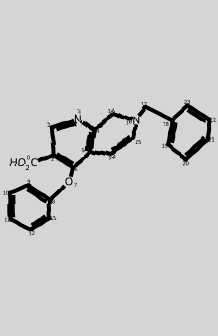 O=C(O)c1cnc2c(c1Oc1ccccc1)C=CN(Cc1ccccc1)C2